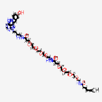 C#CCCCC(=O)NCCOCCOCCOCCOCCC(=O)NCCOCCOCCOCCOCCC(=O)NCCCCn1nc(-c2cc3cc(O)ccc3[nH]2)c2c(N)ncnc21